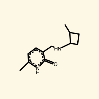 Cc1ccc(CNC2CCC2C)c(=O)[nH]1